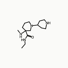 CCNC(=O)C1(NC)CCCN(C2CCNCC2)C1